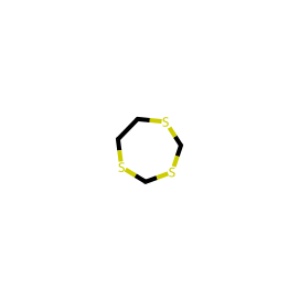 C1CSCSCS1